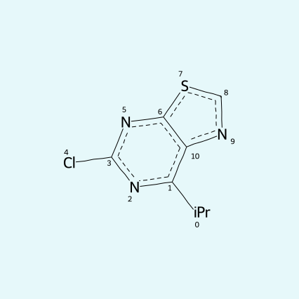 CC(C)c1nc(Cl)nc2scnc12